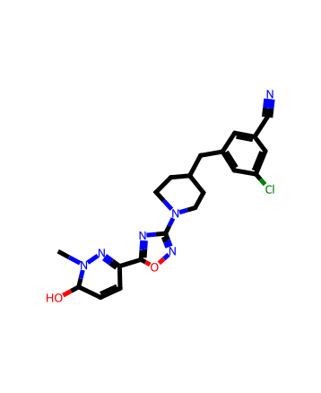 CN1N=C(c2nc(N3CCC(Cc4cc(Cl)cc(C#N)c4)CC3)no2)C=CC1O